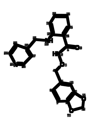 O=C(NOCc1ccc2c(c1)OCO2)c1ccccc1NCc1ccncc1